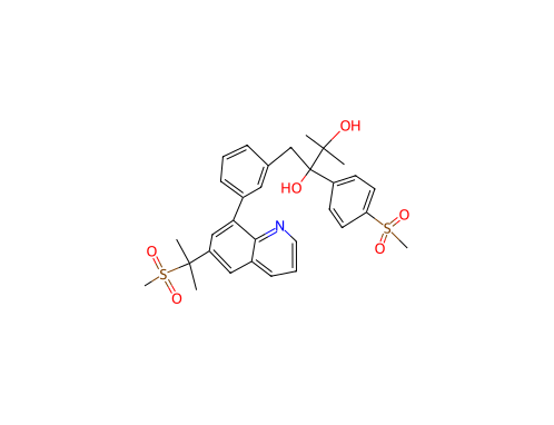 CC(C)(O)C(O)(Cc1cccc(-c2cc(C(C)(C)S(C)(=O)=O)cc3cccnc23)c1)c1ccc(S(C)(=O)=O)cc1